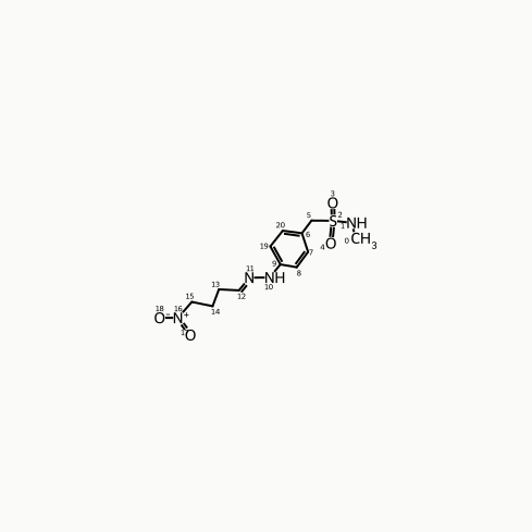 CNS(=O)(=O)Cc1ccc(NN=CCCC[N+](=O)[O-])cc1